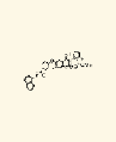 COC(=O)[C@@H]1[C@H](NC(=O)c2cc(O[C@H]3CC[C@@](C)(C(=O)OCc4cccc5ccccc45)CC3)c(C)cc2OC)[C@H]2C=C[C@@H]1C2